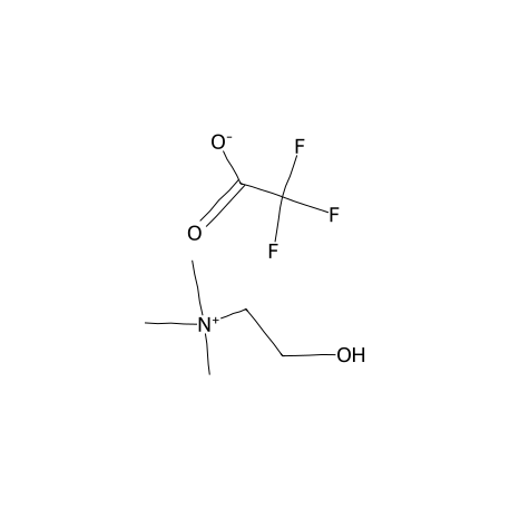 C[N+](C)(C)CCO.O=C([O-])C(F)(F)F